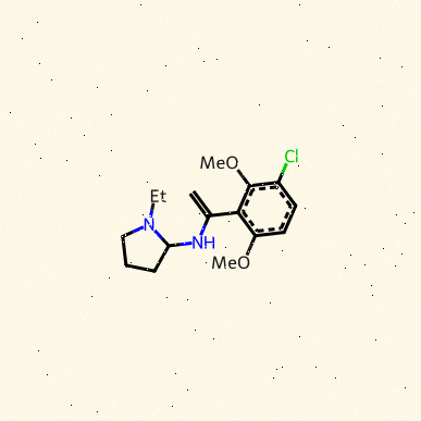 C=C(NC1CCCN1CC)c1c(OC)ccc(Cl)c1OC